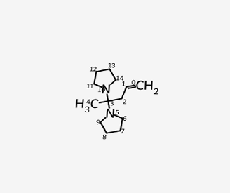 C=CCC(C)(N1CCCC1)N1CCCC1